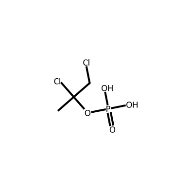 CC(Cl)(CCl)OP(=O)(O)O